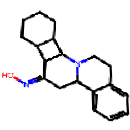 ON=C1CC2c3ccccc3CCN2C2C3CCCCC3C12